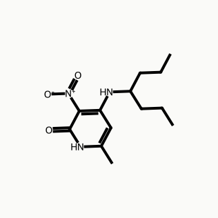 CCCC(CCC)Nc1cc(C)[nH]c(=O)c1[N+](=O)[O-]